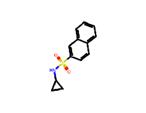 O=S(=O)(NC1CC1)c1ccc2ccccc2c1